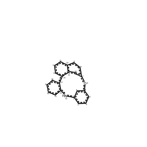 c1cc2cc(c1)oc1ccc3cccc(c3c1)c1ccccc1[nH]2